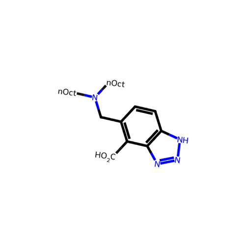 CCCCCCCCN(CCCCCCCC)Cc1ccc2[nH]nnc2c1C(=O)O